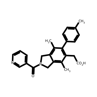 Cc1ccc(-c2c(C)c3c(c(C)c2CC(=O)O)CN(C(=O)c2cccnc2)C3)cc1